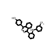 Oc1ccc(-c2nnc(-c3ccccc3Nc3cccc(C(F)(F)F)c3)c3ccccc23)cc1